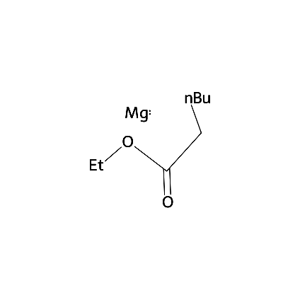 CCCCCC(=O)OCC.[Mg]